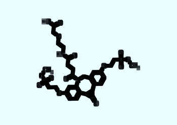 COS(=O)(=O)CCOc1ccc2c(c1)CN(C(=O)CCC(=O)NCCOCC(=O)O)c1cc(OCCS(=O)(=O)OC)ccc1-c1c-2c1=O